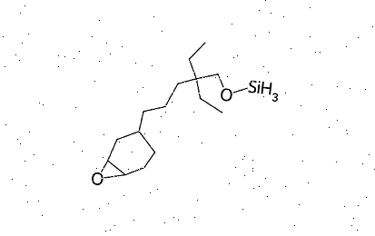 CCC(CC)(CCCC1CCC2OC2C1)CO[SiH3]